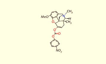 COc1ccc2c3c1OC1C(OC(=O)Oc4ccc([N+](=O)[O-])cc4)=CC[C@@]4(C)[C@@H](C2)N(C)CC[C@]314